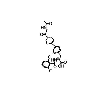 CC(=O)NCC(=O)N1CC=C(c2ccc(C[C@H](NC(=O)c3c(Cl)cccc3Cl)C(=O)O)cc2)CC1